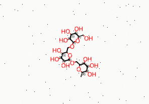 C[C@H]1OC(CO[C@@H]2OC(CO[C@@H]3O[C@H](CO)[C@@H](O)[C@H](O)[C@H]3O)[C@@H](O)[C@H](O)[C@H]2O)[C@@H](O)[C@H](O)[C@H]1O